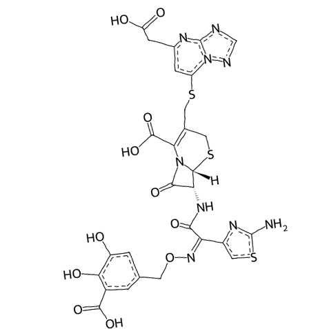 Nc1nc(/C(=N/OCc2cc(O)c(O)c(C(=O)O)c2)C(=O)N[C@@H]2C(=O)N3C(C(=O)O)=C(CSc4cc(CC(=O)O)nc5ncnn45)CS[C@H]23)cs1